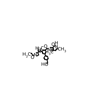 C=CC(=O)N1CCC(N(CC)c2cc(-c3ccc(CO)cc3)cc(C(=O)NCc3c(C)cc(C)[nH]c3=O)c2C)C1